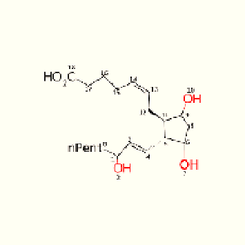 CCCCCC(O)/C=C/[C@H]1C(O)CC(O)[C@@H]1C/C=C\CCCC(=O)O